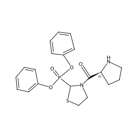 O=C([C@@H]1CCCN1)N1CCSC1P(=O)(Oc1ccccc1)Oc1ccccc1